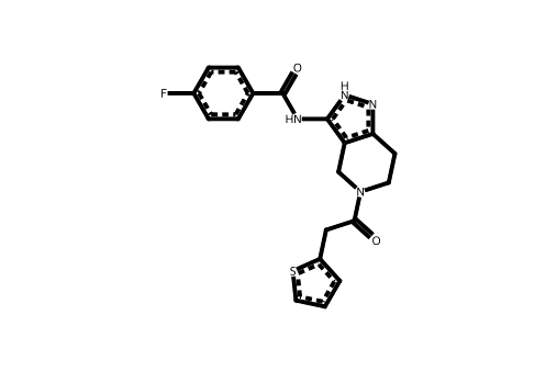 O=C(Nc1[nH]nc2c1CN(C(=O)Cc1cccs1)CC2)c1ccc(F)cc1